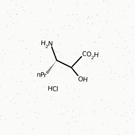 CCC[C@H](N)C(O)C(=O)O.Cl